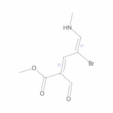 CN/C=C(Br)\C=C(/C=O)C(=O)OC